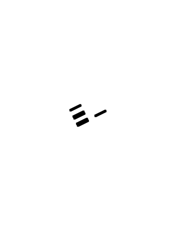 C=C.C=C.CC.CC